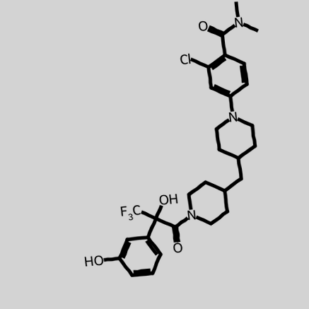 CN(C)C(=O)c1ccc(N2CCC(CC3CCN(C(=O)C(O)(c4cccc(O)c4)C(F)(F)F)CC3)CC2)cc1Cl